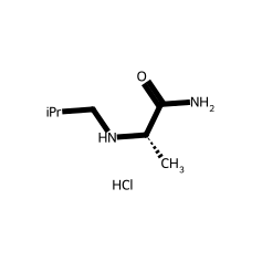 CC(C)CN[C@@H](C)C(N)=O.Cl